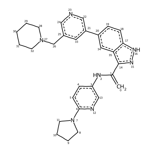 C=C(Nc1ccc(N2CCCC2)nc1)c1n[nH]c2ccc(-c3cncc(CN4CCCCC4)c3)cc12